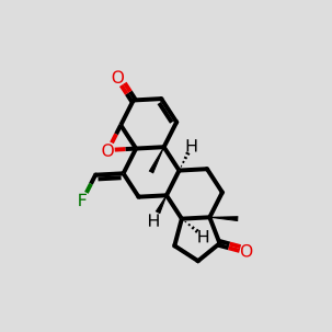 C[C@]12CC[C@H]3[C@@H](CC(=CF)C45OC4C(=O)C=C[C@]35C)[C@@H]1CCC2=O